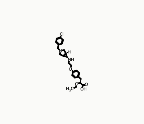 CCO[C@@H](Cc1ccc(OCCN[C@H]2C3CN(Cc4ccc(Cl)cc4)C[C@@H]32)cc1)C(=O)O